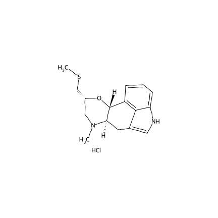 CSC[C@H]1CN(C)[C@@H]2Cc3c[nH]c4cccc(c34)[C@H]2O1.Cl